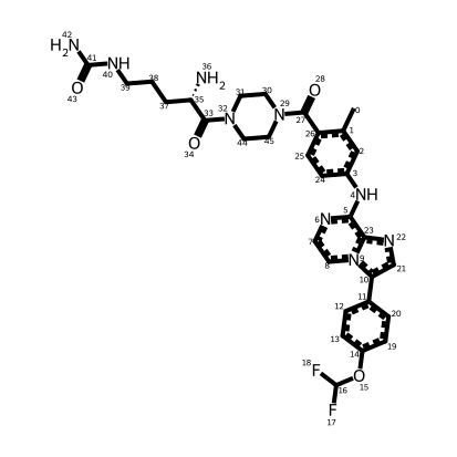 Cc1cc(Nc2nccn3c(-c4ccc(OC(F)F)cc4)cnc23)ccc1C(=O)N1CCN(C(=O)[C@@H](N)CCCNC(N)=O)CC1